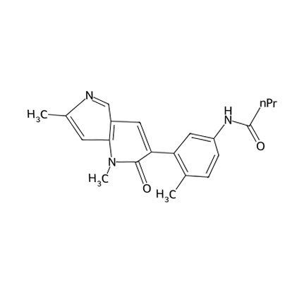 CCCC(=O)Nc1ccc(C)c(-c2cc3cnc(C)cc3n(C)c2=O)c1